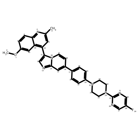 COc1ccc2nc(C)cc(-c3cnc4cc(-c5ccc(N6CCN(c7ncc(F)cn7)CC6)cc5)ccn34)c2c1